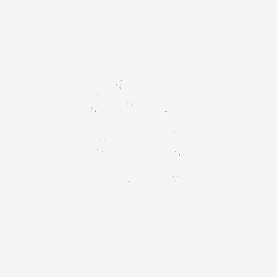 COc1cccc(C#Cc2cc3c(cc2Cl)ncc2ncn(-c4ccc(CCN)cc4)c23)c1